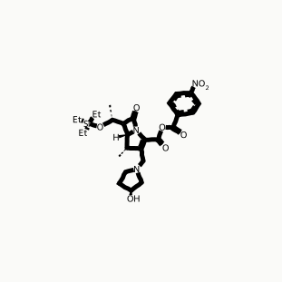 CC[Si](CC)(CC)O[C@H](C)C1C(=O)N2C(C(=O)OC(=O)c3ccc([N+](=O)[O-])cc3)=C(CN3CC[C@H](O)C3)[C@H](C)[C@H]12